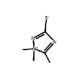 CC1=NC([S-])=N[N+]1(C)C